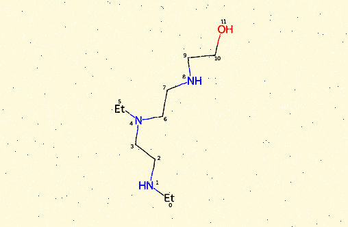 CCNCCN(CC)CCNCCO